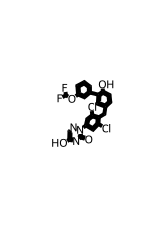 O=c1nc(O)cnn1-c1cc(Cl)c(Cc2ccc(O)c(-c3cccc(OC(F)F)c3)c2)c(Cl)c1